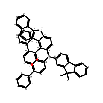 CC1(C)c2ccccc2-c2ccc(N(c3ccc(-c4ccccc4)cc3)c3ccc4oc5c6ccccc6ccc5c4c3-c3ccccc3-c3ccccc3)cc21